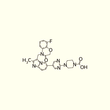 Cc1nc2ccc(-c3cnc(N4CCN(C(=O)O)CC4)nc3)cn2c1CN1C(=O)COc2c(F)cccc21